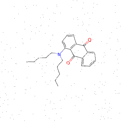 CCCCCN(CCCCC)c1cccc2c1C(=O)c1ccccc1C2=O